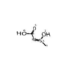 C/S(O)=N/C(=O)O